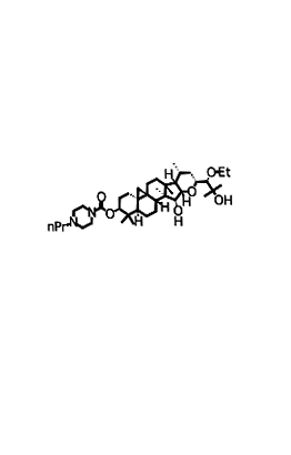 CCCN1CCN(C(=O)O[C@H]2CC[C@]34C[C@]35CC[C@]3(C)[C@@H]6[C@H](O[C@@H]([C@H](OCC)C(C)(C)O)C[C@H]6C)[C@H](O)[C@@]3(C)[C@@H]5CC[C@H]4C2(C)C)CC1